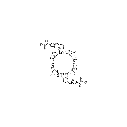 CC(C)C[C@H]1C(=O)O[C@H](Cc2ccc(Cn3cc(C(=O)NC4CC4)cn3)cc2)C(=O)N(C)[C@@H](CC(C)C)C(=O)O[C@H](C)C(=O)N(C)[C@@H](CC(C)C)C(=O)O[C@H](Cc2ccc(Cn3cc(C(=O)NC4CC4)cn3)cc2)C(=O)N(C)[C@@H](CC(C)C)C(=O)O[C@H](C)C(=O)N1C